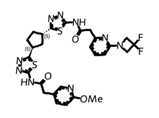 COc1ccc(CC(=O)Nc2nnc([C@H]3CC[C@H](c4nnc(NC(=O)Cc5cccc(N6CC(F)(F)C6)n5)s4)C3)s2)cn1